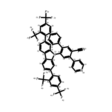 N#Cc1cc(-c2ccccc2)c(-n2c3cc(-c4ccc(C(F)(F)F)cc4C(F)(F)F)ccc3c3ccc(-c4ccc(C(F)(F)F)cc4C(F)(F)F)cc32)cc1-c1ccncc1